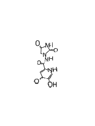 O=C1CN(NC(=O)c2cc(=O)c(O)c[nH]2)C(=O)N1